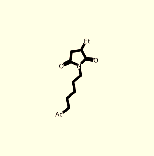 CCC1CC(=O)N(CCCCCC(C)=O)C1=O